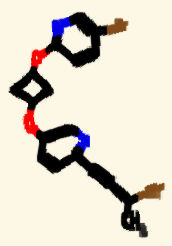 CC(Br)C#Cc1ccc(OC2CC(Oc3ccc(Br)cn3)C2)cn1